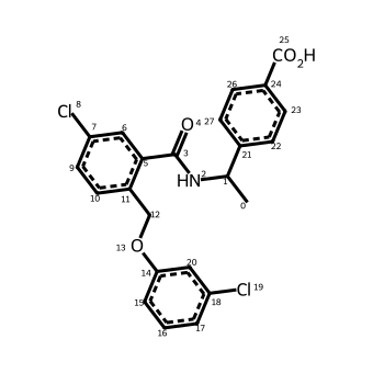 CC(NC(=O)c1cc(Cl)ccc1COc1cccc(Cl)c1)c1ccc(C(=O)O)cc1